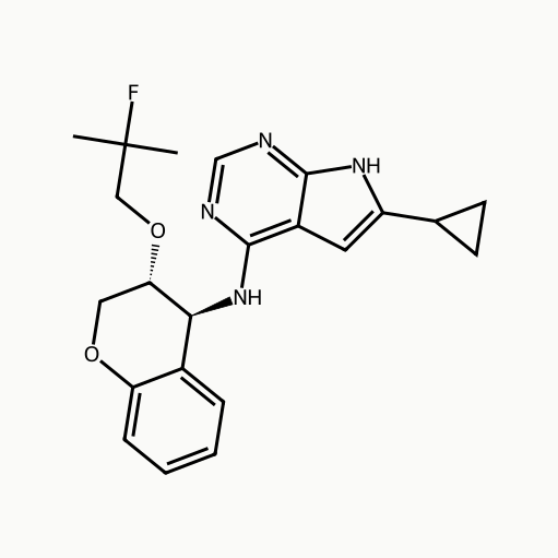 CC(C)(F)CO[C@H]1COc2ccccc2[C@@H]1Nc1ncnc2[nH]c(C3CC3)cc12